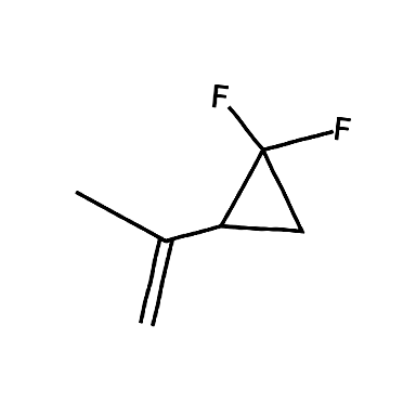 C=C(C)C1CC1(F)F